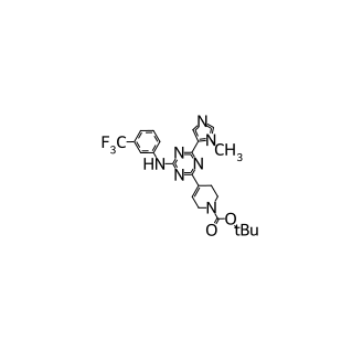 Cn1cncc1-c1nc(Nc2cccc(C(F)(F)F)c2)nc(C2=CCN(C(=O)OC(C)(C)C)CC2)n1